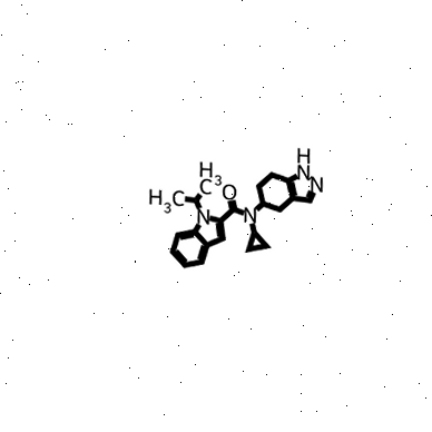 CC(C)n1c(C(=O)N(C2CC2)C2CCc3[nH]ncc3C2)cc2ccccc21